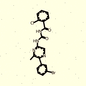 Cc1nc(NC(=O)NC(=O)c2ccccc2Cl)cnc1-c1cccc(Br)c1